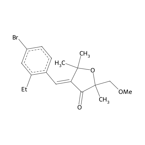 CCc1cc(Br)ccc1/C=C1/C(=O)C(C)(COC)OC1(C)C